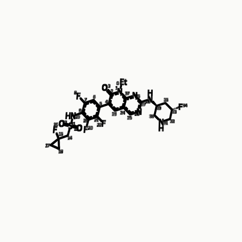 CCn1c(=O)c(-c2cc(F)c(NS(=O)(=O)CC3(F)CC3)c(F)c2F)cc2cnc(N[C@@H]3CNC[C@@H](F)C3)nc21